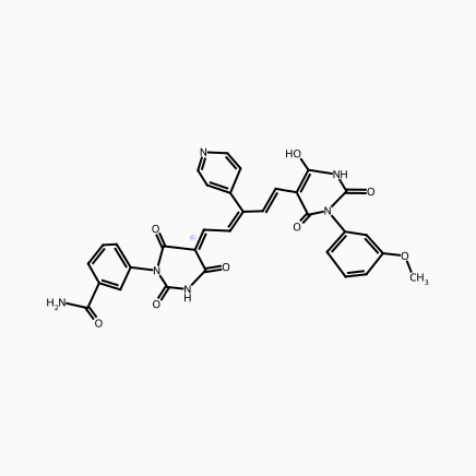 COc1cccc(-n2c(=O)[nH]c(O)c(C=CC(=C/C=C3\C(=O)NC(=O)N(c4cccc(C(N)=O)c4)C3=O)c3ccncc3)c2=O)c1